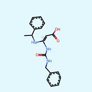 CC(N/C(=C/C(=O)O)NC(=O)NCc1ccccc1)c1ccccc1